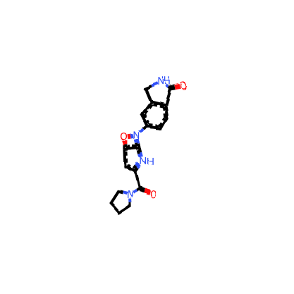 O=C1NCc2cc(-n3oc4cc(C(=O)N5CCCC5)[nH]c43)ccc21